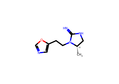 C[C@H]1CNC(=N)N1CCc1cnco1